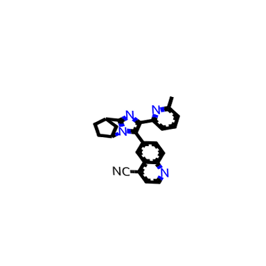 Cc1cccc(-c2nc3n(c2-c2ccc4nccc(C#N)c4c2)C2CCC3C2)n1